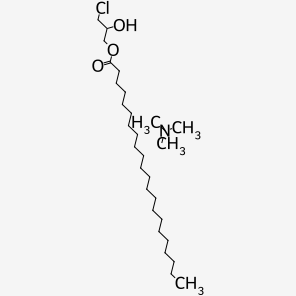 CCCCCCCCCCCCCCCCCCCCCC(=O)OCC(O)CCl.CN(C)C